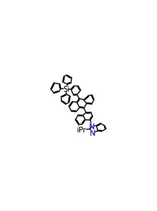 CC(C)c1nc2ccccc2n1-c1ccc(-c2c3ccccc3c(-c3cccc([Si](c4ccccc4)(c4ccccc4)c4ccccc4)c3)c3ccccc23)c2ccccc12